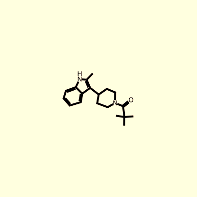 Cc1[nH]c2ccccc2c1C1CCN(C(=O)C(C)(C)C)CC1